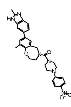 Cc1nc2ccc(-c3cc(C)c4c(c3)CN(C(=O)N3CCN(c5ccc([N+](=O)[O-])cc5)CC3)CCO4)cc2[nH]1